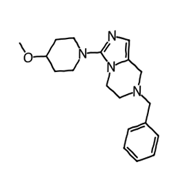 COC1CCN(c2ncc3n2CCN(Cc2ccccc2)C3)CC1